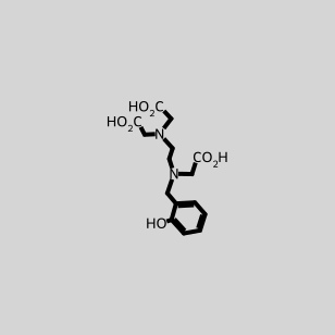 O=C(O)CN(CCN(CC(=O)O)Cc1ccccc1O)CC(=O)O